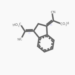 N#C/C(C(=O)O)=C1\C/C(=C(/C#N)C(=O)O)c2ccccc21